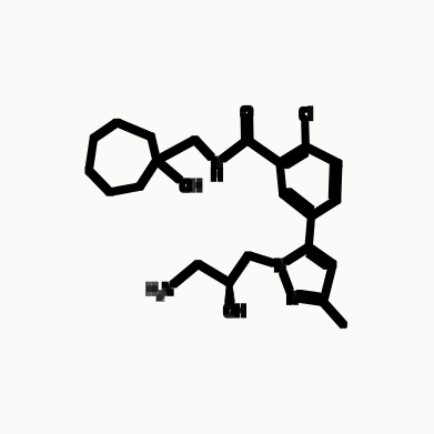 Cc1cc(-c2ccc(Cl)c(C(=O)NCC3(O)CCCCCC3)c2)n(C[C@@H](O)CN)n1